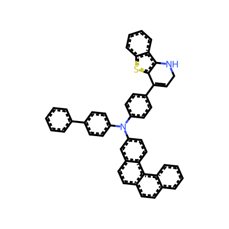 C1=C(c2ccc(N(c3ccc(-c4ccccc4)cc3)c3ccc4c(ccc5ccc6ccccc6c54)c3)cc2)c2sc3ccccc3c2NC1